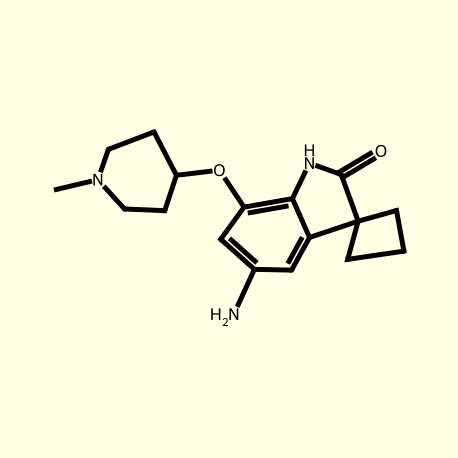 CN1CCC(Oc2cc(N)cc3c2NC(=O)C32CCC2)CC1